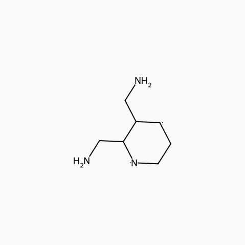 NCC1[CH]CC[N]C1CN